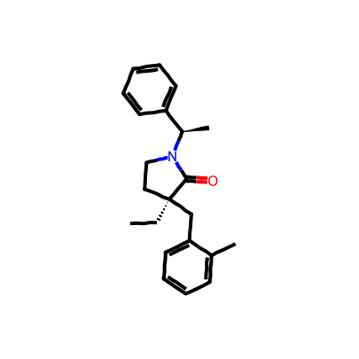 CC[C@]1(Cc2ccccc2C)CCN([C@H](C)c2ccccc2)C1=O